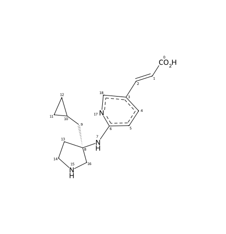 O=C(O)/C=C/c1ccc(N[C@]2(CC3CC3)CCNC2)nc1